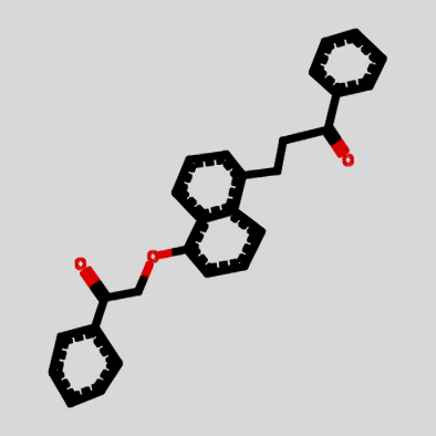 O=C(CCc1cccc2c(OCC(=O)c3ccccc3)cccc12)c1ccccc1